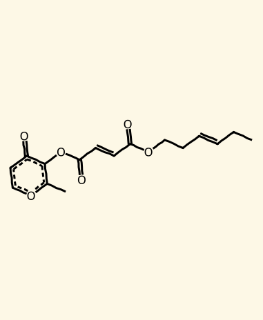 CCC=CCCOC(=O)C=CC(=O)Oc1c(C)occc1=O